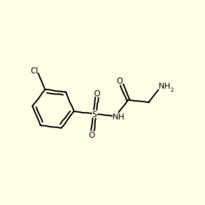 NCC(=O)NS(=O)(=O)c1cccc(Cl)c1